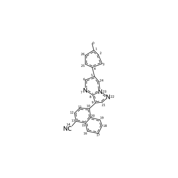 Cc1ccc(-c2cnc3c(-c4ccc(C#N)c5ccccc45)cnn3c2)cc1